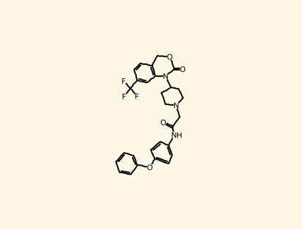 O=C(CN1CCC(N2C(=O)OCc3ccc(C(F)(F)F)cc32)CC1)Nc1ccc(Oc2ccccc2)cc1